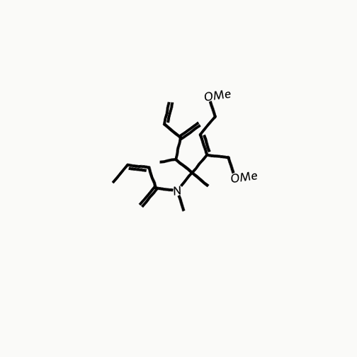 C=CC(=C)C(C)C(C)(/C(=C/COC)COC)N(C)C(=C)/C=C\C